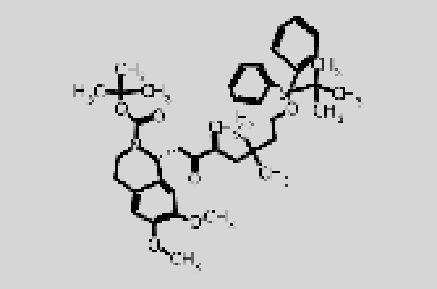 C=C(CC(C)(C)CCO[Si](c1ccccc1)(c1ccccc1)C(C)(C)C)C(=O)C[C@@H]1c2cc(OC)c(OC)cc2CCN1C(=O)OC(C)(C)C